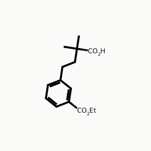 CCOC(=O)c1cccc(CCC(C)(C)C(=O)O)c1